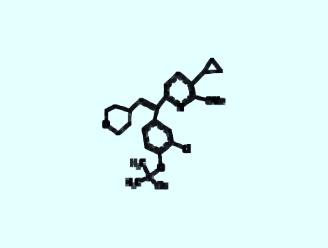 COc1nc(C(=CC2CCOCC2)c2ccc(O[Si](C)(C)C(C)(C)C)c(Cl)c2)ccc1C1CC1